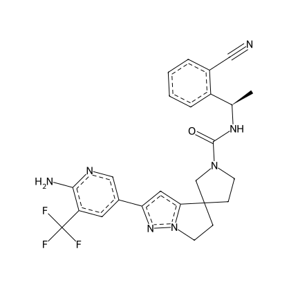 C[C@@H](NC(=O)N1CCC2(CCn3nc(-c4cnc(N)c(C(F)(F)F)c4)cc32)C1)c1ccccc1C#N